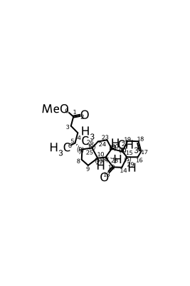 COC(=O)CCC(C)[C@H]1CC[C@H]2[C@@H]3C(=O)C[C@@H]4CC=CC[C@]4(C)[C@H]3CC[C@]12C